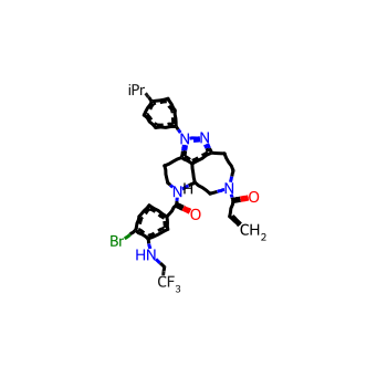 C=CC(=O)N1CCc2nn(-c3ccc(C(C)C)cc3)c3c2[C@@H](C1)N(C(=O)c1ccc(Br)c(NCC(F)(F)F)c1)CC3